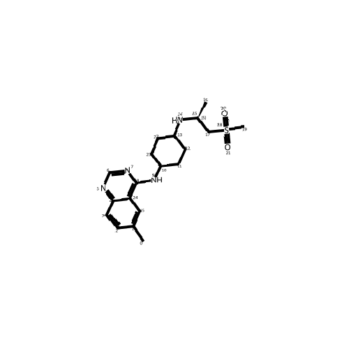 Cc1ccc2ncnc(NC3CCC(N[C@@H](C)CS(C)(=O)=O)CC3)c2c1